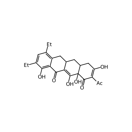 CCc1cc(CC)c2c(c1O)C(=O)C1=C(O)C3(O)C(=O)C(C(C)=O)=C(O)CC3CC1C2